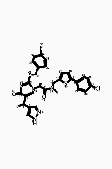 CC(c1cn[nH]c1)c1cn(CC(=O)N(C)Cc2ccc(-c3ccc(Cl)cc3)s2)c(SCc2ccc(F)cc2)nc1=O